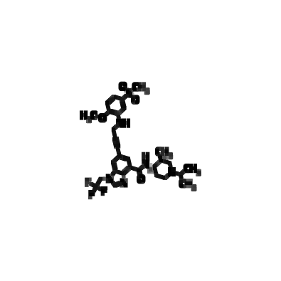 COc1ccc(S(C)(=O)=O)cc1NCC#Cc1cc(C(=O)N[C@H]2CCN(C(C)C)C[C@@H]2C)c2ncn(CC(F)(F)F)c2c1